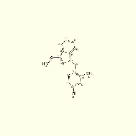 COc1nn(Cc2ccc(Cl)cc2C)c2ccccc12